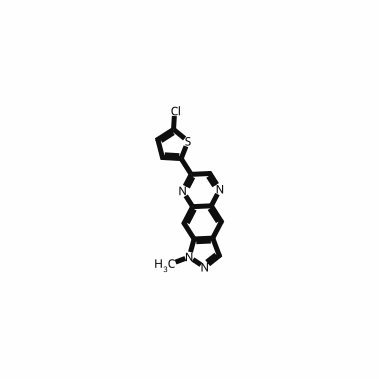 Cn1ncc2cc3ncc(-c4ccc(Cl)s4)nc3cc21